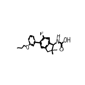 CCCOc1cccc(-c2cc3c(cc2F)C(NC(=O)O)C(C)(C)C3)c1